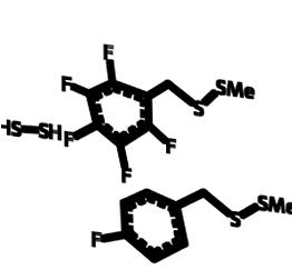 CSSCc1c(F)c(F)c(F)c(F)c1F.CSSCc1ccc(F)cc1.SS